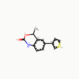 CC1OC(=O)Nc2ccc(-c3ccsc3)cc21